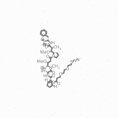 CC[C@H](C)[C@@H]([C@@H](CC(=O)N1CCC[C@H]1[C@H](OC)[C@@H](C)C(=O)N[C@@H](Cc1ccccc1)[PH](=O)O)OC)N(C)C(=O)[C@@H](NC(=O)[C@@H]1[C@H]2CC[C@H](C2)N1C(=O)CCOCCOCCN=[N+]=[N-])C(C)C